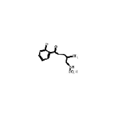 O=C(O)NCC(CCC(=O)c1ccccc1Br)C(F)(F)F